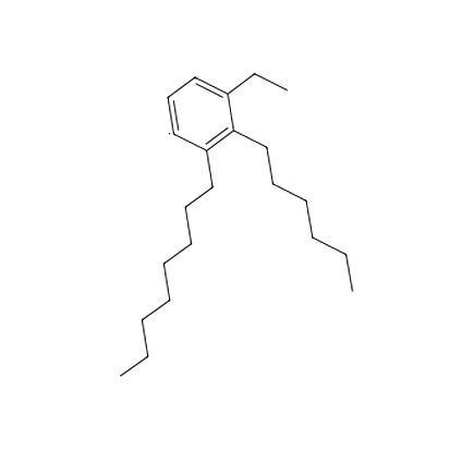 CCCCCCCCc1[c]ccc(CC)c1CCCCCC